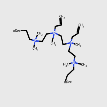 C=CC[N+](C)(CC[N+](C)(C)CCCCCCCCCCCC)CC[N+](C)(CC=C)CC[N+](C)(C)CCCCCCCCCCCC